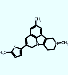 Cc1cc2c3c(c1)c1c(n3CC(c3ccc(C)s3)=C2)CCN(C)C1